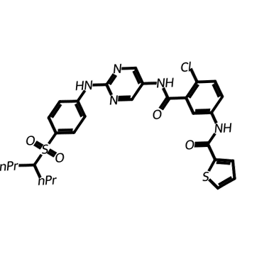 CCCC(CCC)S(=O)(=O)c1ccc(Nc2ncc(NC(=O)c3cc(NC(=O)c4cccs4)ccc3Cl)cn2)cc1